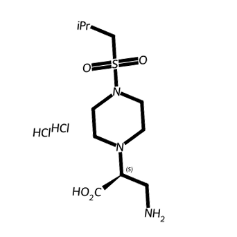 CC(C)CS(=O)(=O)N1CCN([C@@H](CN)C(=O)O)CC1.Cl.Cl